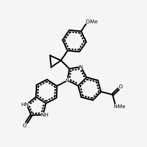 CNC(=O)c1ccc2c(c1)nc(C1(c3ccc(OC)cc3)CC1)n2-c1ccc2[nH]c(=O)[nH]c2c1